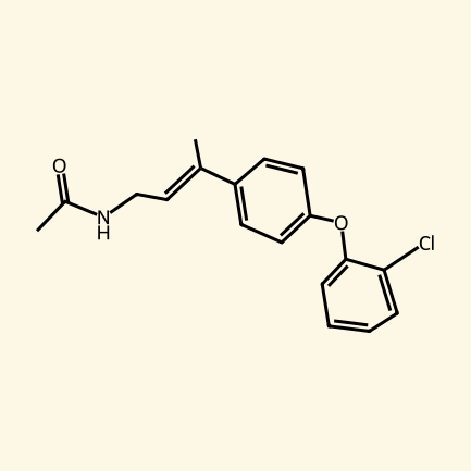 CC(=O)NCC=C(C)c1ccc(Oc2ccccc2Cl)cc1